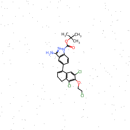 CC(C)(C)OC(=O)n1nc(N)c2cc(C3=CCCc4c3cc(Cl)c(OCCCl)c4Cl)ccc21